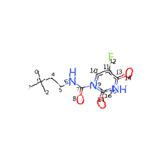 CC(C)(C)CCNC(=O)n1cc(F)c(=O)[nH]c1=O